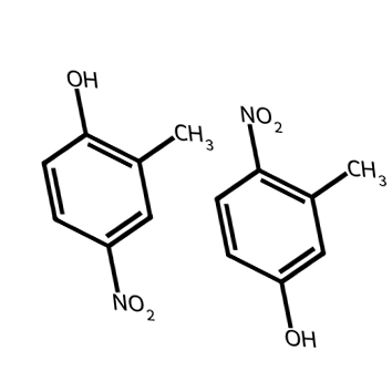 Cc1cc(O)ccc1[N+](=O)[O-].Cc1cc([N+](=O)[O-])ccc1O